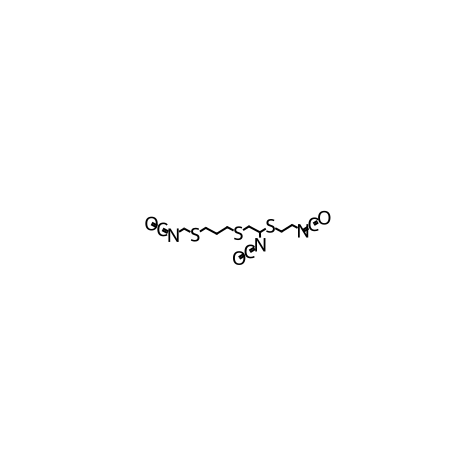 O=C=NCCSC(CSCCCSCN=C=O)N=C=O